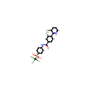 O=C(Nc1ccc(S(=O)(=O)C(F)(F)F)cc1)c1ccc(-c2ncccc2Cl)c(F)c1